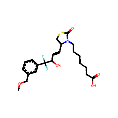 COCc1cccc(C(F)(F)C(O)C=CC2CSC(=O)N2CCCCCCC(=O)O)c1